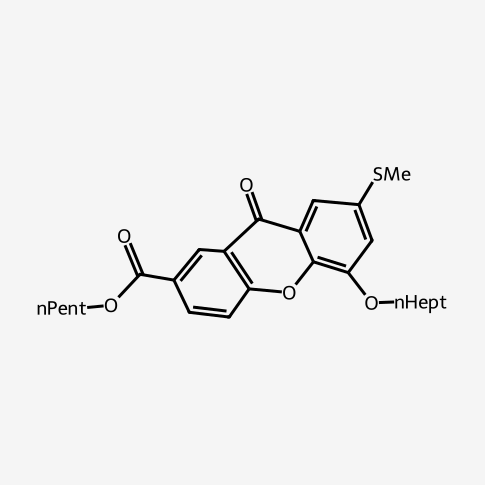 CCCCCCCOc1cc(SC)cc2c(=O)c3cc(C(=O)OCCCCC)ccc3oc12